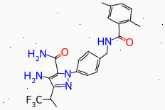 Cc1ccc(C)c(C(=O)NCc2ccc(-n3nc(C(C)C(F)(F)F)c(N)c3C(N)=O)cc2)c1